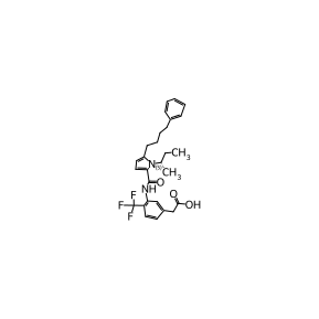 CC[C@H](C)n1c(CCCCc2ccccc2)ccc1C(=O)Nc1cc(CC(=O)O)ccc1C(F)(F)F